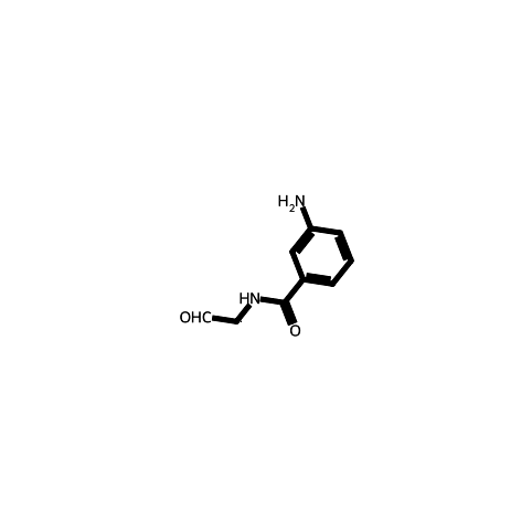 Nc1cccc(C(=O)N[CH]C=O)c1